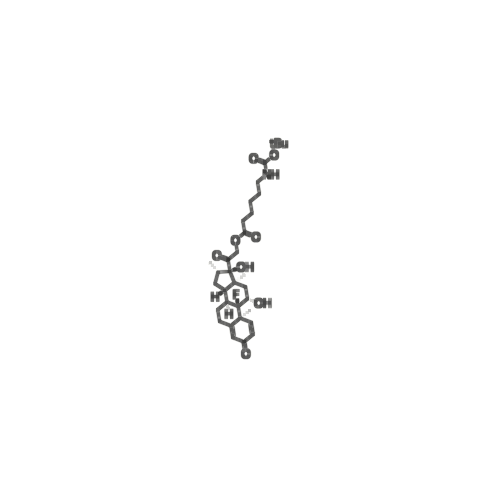 C[C@H]1C[C@H]2[C@@H]3CCC4=CC(=O)C=C[C@]4(C)[C@@]3(F)[C@@H](O)C[C@]2(C)[C@@]1(O)C(=O)COC(=O)CCCCCNC(=O)OC(C)(C)C